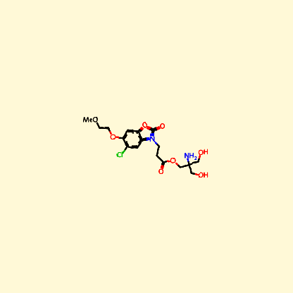 COCCOc1cc2oc(=O)n(CCC(=O)OCC(N)(CO)CO)c2cc1Cl